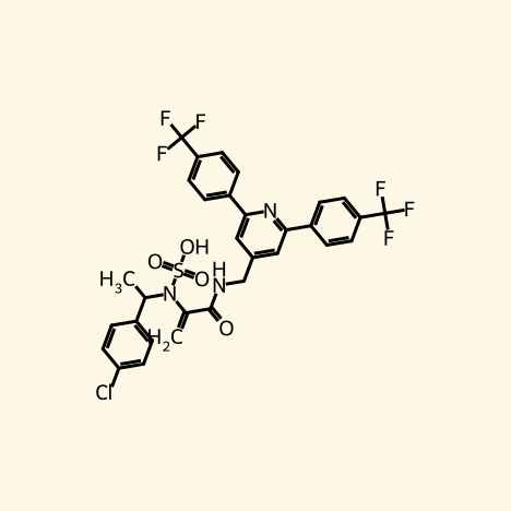 C=C(C(=O)NCc1cc(-c2ccc(C(F)(F)F)cc2)nc(-c2ccc(C(F)(F)F)cc2)c1)N(C(C)c1ccc(Cl)cc1)S(=O)(=O)O